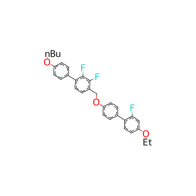 CCCCOc1ccc(-c2ccc(COc3ccc(-c4ccc(OCC)cc4F)cc3)c(F)c2F)cc1